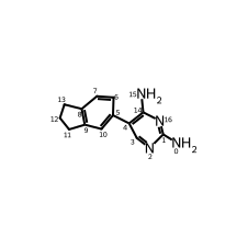 Nc1ncc(-c2ccc3c(c2)CCC3)c(N)n1